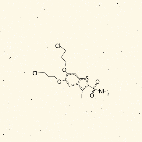 NS(=O)(=O)c1sc2cc(OCCCCl)c(OCCCCl)cc2c1I